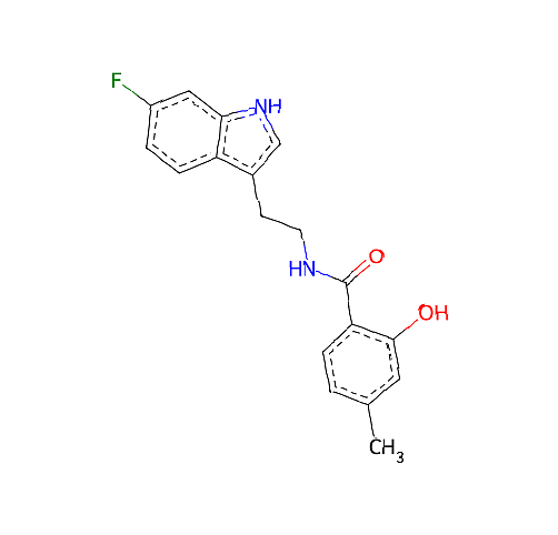 Cc1ccc(C(=O)NCCc2c[nH]c3cc(F)ccc23)c(O)c1